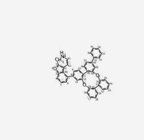 Cc1oc2cccc(-c3ccc4c(c3)Oc3ccccc3-c3ccccc3Oc3cc(-c5ccccc5)ccc3-4)c2c1/C=C\N